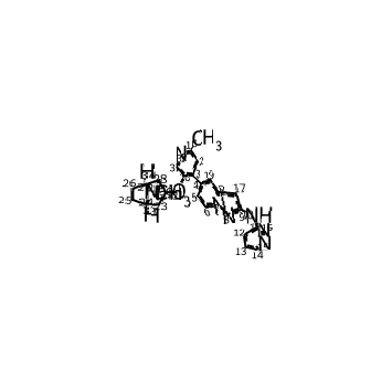 Cc1cc(-c2ccn3nc(Nc4cccnn4)cc3c2)c(OC2C[C@H]3CC[C@@H](C2)N3C)cn1